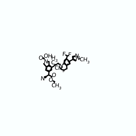 CCOC(=O)C(C#N)c1cc2c(c(C(C)(C)CN3CCCc4cc(-c5cnn(C)c5)c(C(F)F)cc43)c1)CN(C(=O)O)C2